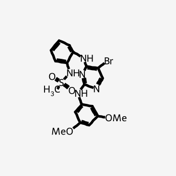 COc1cc(Nc2ncc(Br)c(Nc3ccccc3NS(C)(=O)=O)n2)cc(OC)c1